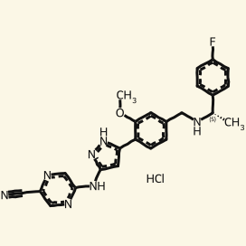 COc1cc(CN[C@@H](C)c2ccc(F)cc2)ccc1-c1cc(Nc2cnc(C#N)cn2)n[nH]1.Cl